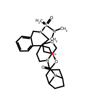 C=S(=O)(N(C)C)N1Cc2ccccc2C2(CCN(C3CC4CCC(C3)N4C(=O)O[C@H]3CCOC3)CC2)C1